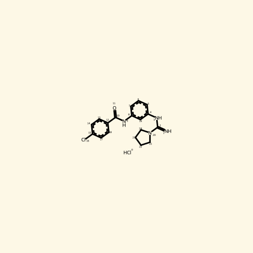 Cl.N=C(Nc1cccc(NC(=O)c2ccc(Cl)cc2)c1)N1CCCC1